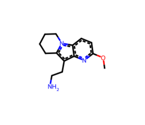 COc1ccc2c(n1)c(CCN)c1n2CCCC1